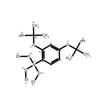 CCCC(C)(C)Oc1ccc([Si](OCC)(OCC)OCC)c(OC(C)(C)CCC)c1